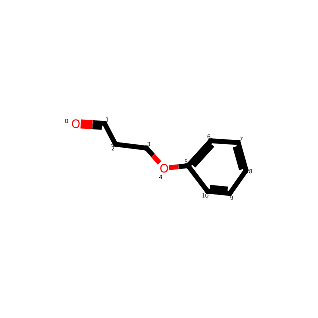 O=C[CH]COc1ccccc1